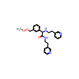 COOCc1cccc(C(NCCc2cccnc2)C(=O)NCCc2cccnc2)c1